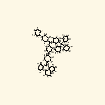 c1ccc(-c2ccc(N(c3ccc(-c4ccc(N(c5ccccc5)c5cccc6ccccc56)cc4)cc3)c3ccc4c(c3)C(c3ccccc3)(c3ccccc3)c3ccccc3-4)cc2)cc1